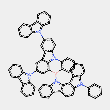 c1ccc(-n2c3ccccc3c3c4c(ccc32)c2ccccc2n4B2c3ccccc3-n3c4ccc(-n5c6ccccc6c6ccccc65)cc4c4cc(-n5c6ccccc6c6ccccc65)cc2c43)cc1